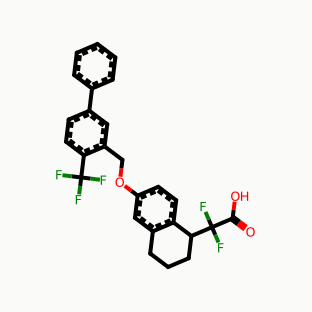 O=C(O)C(F)(F)C1CCCc2cc(OCc3cc(-c4ccccc4)ccc3C(F)(F)F)ccc21